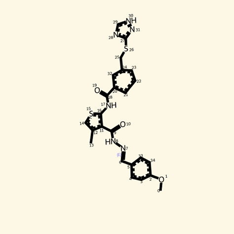 COc1ccc(/C=N/NC(=O)c2c(C)csc2NC(=O)c2cccc(CSc3nc[nH]n3)c2)cc1